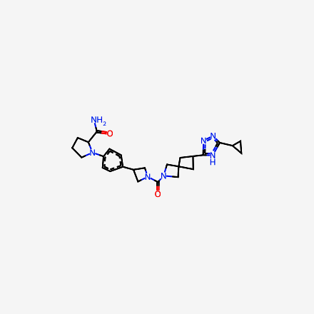 NC(=O)C1CCCN1c1ccc(C2CN(C(=O)N3CC4(CC(c5nnc(C6CC6)[nH]5)C4)C3)C2)cc1